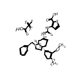 COc1ccc([C@@]23CC[C@@H](NC(=S)Nc4ccsc4C(=O)O)C[C@@H]2N(Cc2ccccc2)CC3)cc1OC.O=C(O)C(F)(F)F